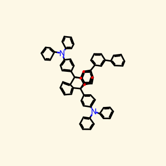 c1ccc(-c2cccc(-c3ccc4c(c3)C3(c5ccc(N(c6ccccc6)c6ccccc6)cc5)c5ccccc5C4(c4ccc(N(c5ccccc5)c5ccccc5)cc4)c4ccccc43)c2)cc1